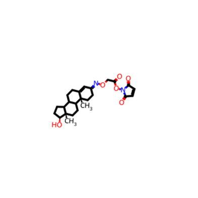 C[C@]12CCC(=NOCC(=O)ON3C(=O)C=CC3=O)C=C1CCC1C2CC[C@@]2(C)C1CC[C@@H]2O